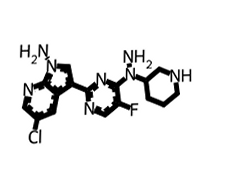 NN(c1nc(-c2cn(N)c3ncc(Cl)cc23)ncc1F)C1CCCNC1